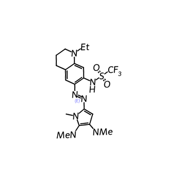 [CH2-][NH2+]c1cc(/N=N/c2cc3c(cc2NS(=O)(=O)C(F)(F)F)N(CC)CCC3)n(C)c1[NH2+][CH2-]